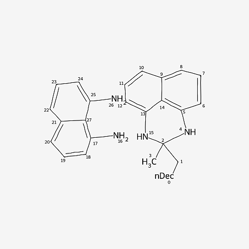 CCCCCCCCCCCC1(C)Nc2cccc3cccc(c23)N1.Nc1cccc2cccc(N)c12